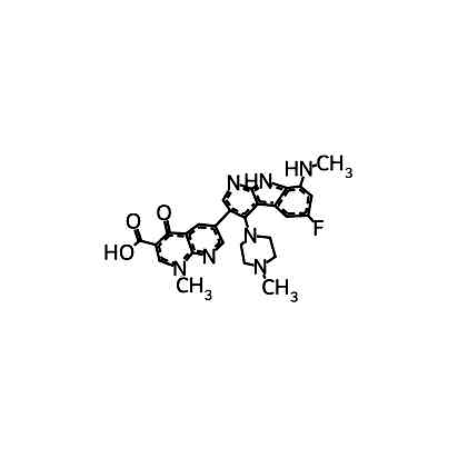 CNc1cc(F)cc2c1[nH]c1ncc(-c3cnc4c(c3)c(=O)c(C(=O)O)cn4C)c(N3CCN(C)CC3)c12